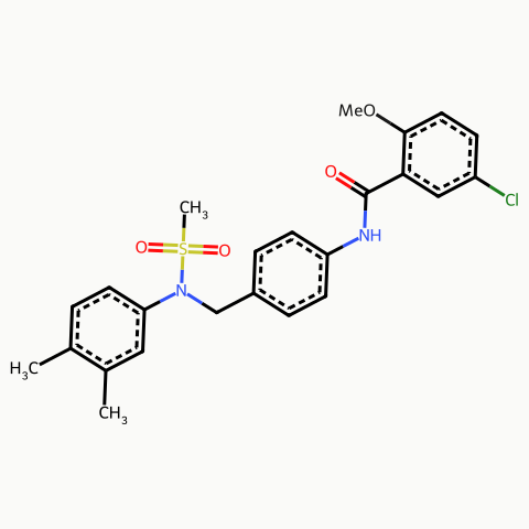 COc1ccc(Cl)cc1C(=O)Nc1ccc(CN(c2ccc(C)c(C)c2)S(C)(=O)=O)cc1